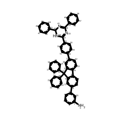 Nc1cccc(-c2ccc3c(c2)C(c2ccccc2)(c2ccccc2)c2cc(-c4ccc(C5=NC(c6ccccc6)=NC(c6ccccc6)N5)cc4)ccc2-3)c1